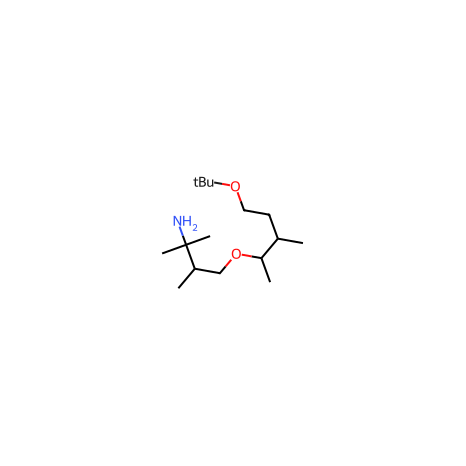 CC(CCOC(C)(C)C)C(C)OCC(C)C(C)(C)N